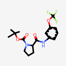 CC(C)(C)OC(=O)N1CCCC1C(=O)Nc1cccc(OC(F)(F)F)c1